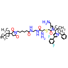 C=CCC(CC)(CC)C1CC(=O)N(CCCCCC(=O)NCCNC(=O)[C@@H](N)CSCC(=O)N(CCCN)[C@@H](c2cc(-c3cc(F)ccc3F)cn2Cc2ccccc2)C(C)(C)C)C1=O